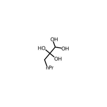 [CH2]CCCC(O)(O)[C](O)O